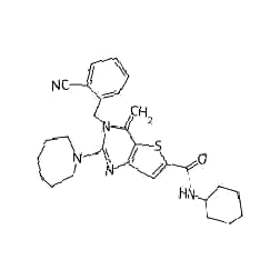 C=C1c2sc(C(=O)NC3CCCCC3)cc2N=C(N2CCCCCC2)N1Cc1ccccc1C#N